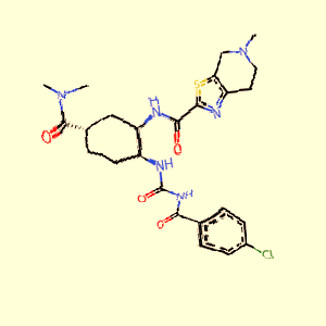 CN1CCc2nc(C(=O)N[C@@H]3C[C@@H](C(=O)N(C)C)CC[C@@H]3NC(=O)NC(=O)c3ccc(Cl)cc3)sc2C1